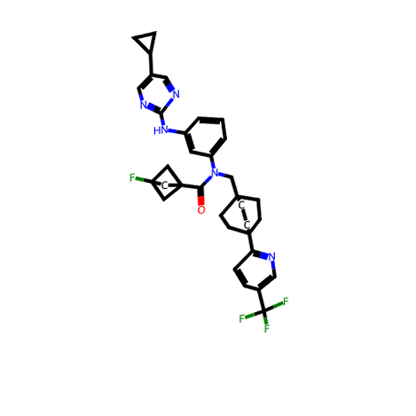 O=C(N(CC12CCC(c3ccc(C(F)(F)F)cn3)(CC1)CC2)c1cccc(Nc2ncc(C3CC3)cn2)c1)C12CC(F)(C1)C2